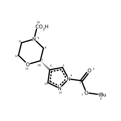 CC(C)(C)OC(=O)n1cc([C@H]2CN(C(=O)O)CCO2)cn1